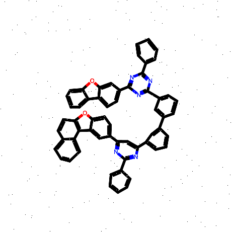 c1ccc(-c2nc(-c3cccc(-c4cccc(-c5nc(-c6ccccc6)nc(-c6ccc7c(c6)oc6ccccc67)n5)c4)c3)cc(-c3ccc4oc5ccc6ccccc6c5c4c3)n2)cc1